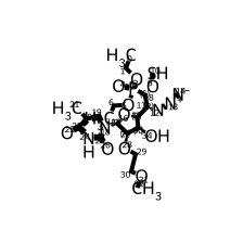 CCOP(=O)(OCC)[C@H](OS)[C@H](N=[N+]=[N-])[C@H]1O[C@@H](n2cc(C)c(=O)[nH]c2=O)[C@H](OCCOC)[C@@H]1O